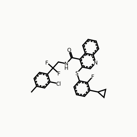 Cc1ccc(C(F)(F)CNC(=O)c2c(Sc3cccc(C4CC4)c3F)cnc3ccccc23)c(Cl)c1